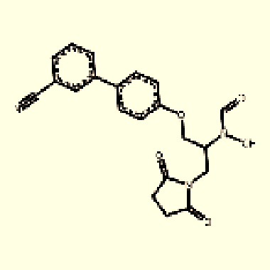 N#Cc1cccc(-c2ccc(OCC(CN3C(=O)CCC3=O)N(O)C=O)cc2)c1